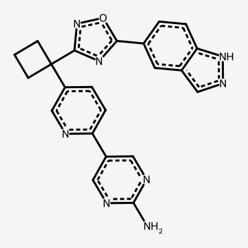 Nc1ncc(-c2ccc(C3(c4noc(-c5ccc6[nH]ncc6c5)n4)CCC3)cn2)cn1